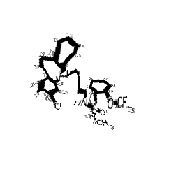 CN=S(=O)(NCCCN1c2ccccc2CCc2ccc(Cl)cc21)c1ccccc1OC(F)(F)F